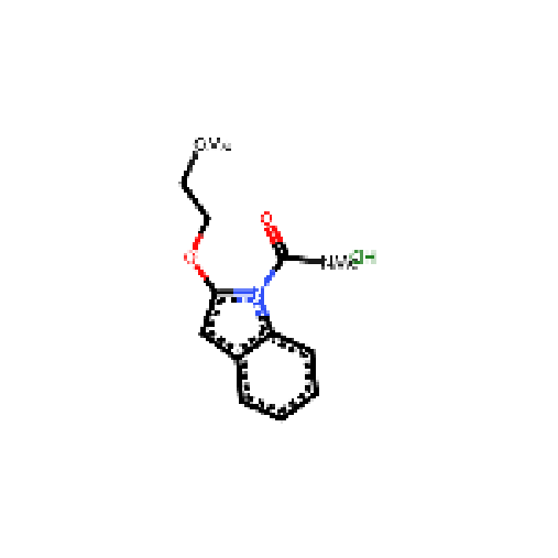 CNC(=O)n1c(OCCOC)cc2ccccc21.Cl